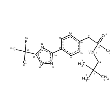 CC(C)(C)CNP(C)(=O)Cc1ccc(-c2noc(C(F)(F)Cl)n2)cc1